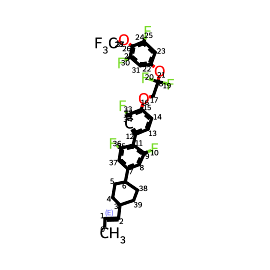 C/C=C/C1CCC(c2cc(F)c(-c3ccc(OCC(F)(F)Oc4cc(F)c(OC(F)(F)F)c(F)c4)c(F)c3)c(F)c2)CC1